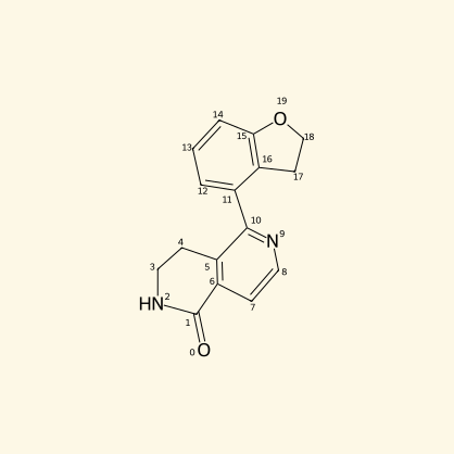 O=C1NCCc2c1ccnc2-c1cccc2c1CCO2